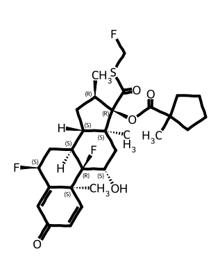 C[C@@H]1C[C@H]2[C@@H]3C[C@H](F)C4=CC(=O)C=C[C@]4(C)[C@@]3(F)[C@@H](O)C[C@]2(C)[C@@]1(OC(=O)C1(C)CCCC1)C(=O)SCF